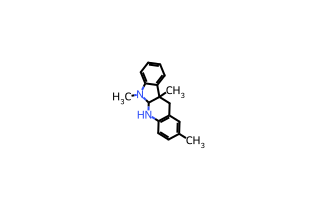 Cc1ccc2c(c1)CC1(C)c3ccccc3N(C)C1N2